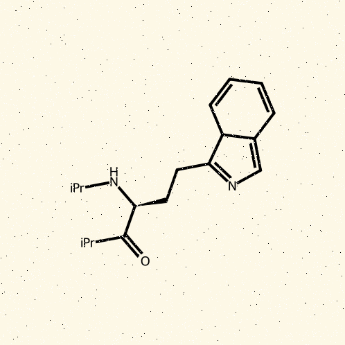 CC(C)N[C@@H](CCC1=NC=C2C=CC=CC21)C(=O)C(C)C